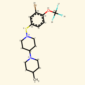 CC1CCN(C2CCN(Sc3ccc(OC(F)(F)F)c(Br)c3)CC2)CC1